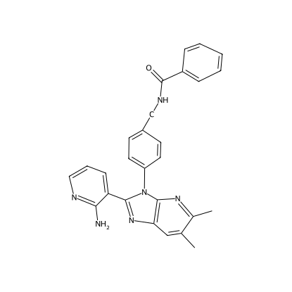 Cc1cc2nc(-c3cccnc3N)n(-c3ccc(CNC(=O)c4ccccc4)cc3)c2nc1C